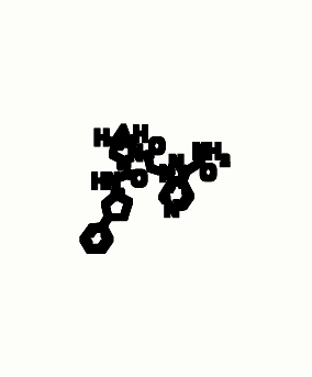 NC(=O)c1nn(CC(=O)N2[C@@H]3C[C@@H]3C[C@H]2C(=O)N[C@@H]2CCC(c3ccccc3)C2)c2cnccc12